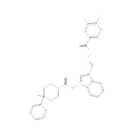 O=C(N/N=C/c1cn(CC(=O)N2CCC(O)(c3ccccc3)CC2)c2ccccc12)c1ccc(O)c(Cl)c1